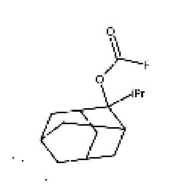 CC(C)C1(OC(=O)F)C2CC3CC(C2)CC1C3